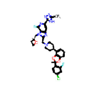 CC1(c2ccc(Cl)cc2F)Oc2cccc(C3CCN(Cc4nc5cc(-c6nnc(C(F)(F)F)[nH]6)nc(F)c5n4C[C@@H]4CCO4)CC3)c2O1